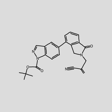 C=C(C#N)CN1Cc2c(cccc2-c2ccc3c(cnn3C(=O)OC(C)(C)C)c2)C1=O